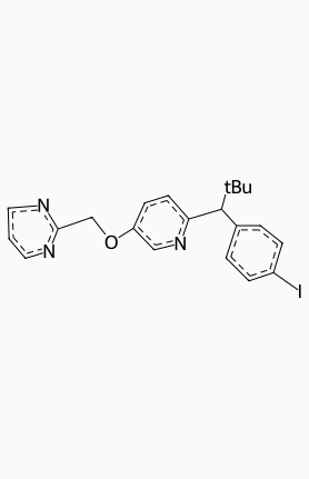 CC(C)(C)C(c1ccc(I)cc1)c1ccc(OCc2ncccn2)cn1